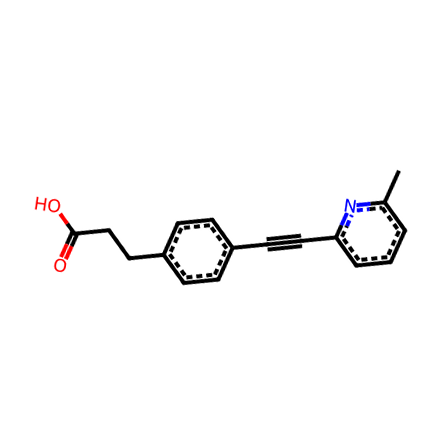 Cc1cccc(C#Cc2ccc(CCC(=O)O)cc2)n1